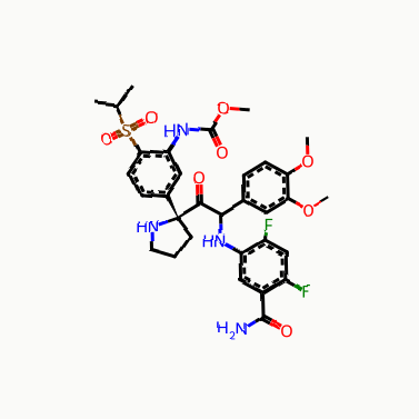 COC(=O)Nc1cc([C@@]2(C(=O)C(Nc3cc(C(N)=O)c(F)cc3F)c3ccc(OC)c(OC)c3)CCCN2)ccc1S(=O)(=O)C(C)C